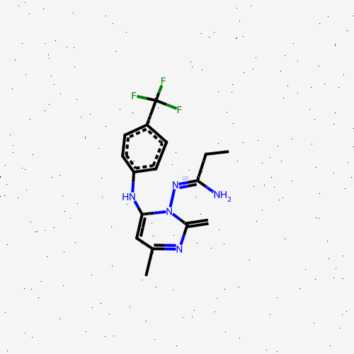 C=C1N=C(C)C=C(Nc2ccc(C(F)(F)F)cc2)N1/N=C(\N)CC